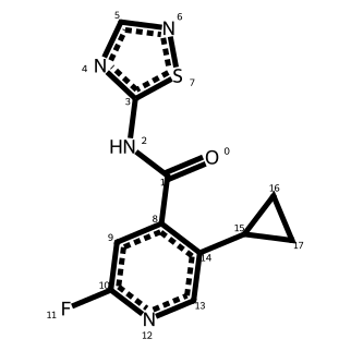 O=C(Nc1ncns1)c1cc(F)ncc1C1CC1